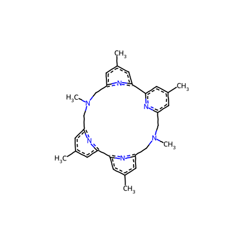 Cc1cc2nc(c1)-c1cc(C)cc(n1)CN(C)Cc1cc(C)cc(n1)-c1cc(C)cc(n1)CN(C)C2